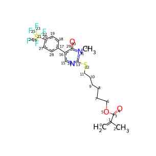 C=C(C)C(=O)OCCCCCCSc1ncc(-c2ccc(S(F)(F)(F)(F)F)cc2)c(=O)n1C